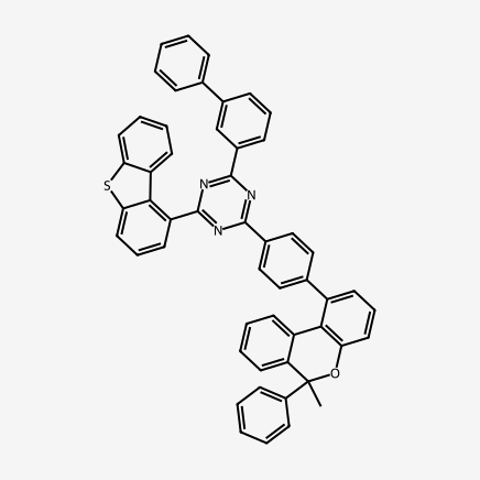 CC1(c2ccccc2)Oc2cccc(-c3ccc(-c4nc(-c5cccc(-c6ccccc6)c5)nc(-c5cccc6sc7ccccc7c56)n4)cc3)c2-c2ccccc21